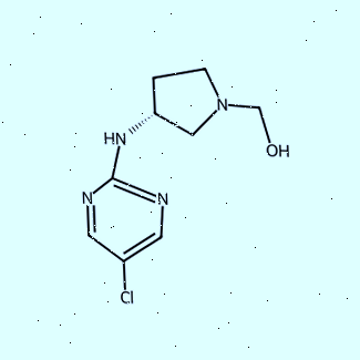 OCN1CC[C@@H](Nc2ncc(Cl)cn2)C1